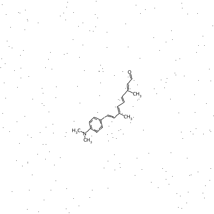 CC(C=Cc1ccc(N(C)C)cc1)=CC=C/C(C)=C/C=O